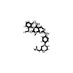 CN(C)CC1CN(c2ccc(Nc3ncc4c(=N)n(-c5c(Cl)cccc5CI)c(=O)n(C)c4n3)cc2)CCO1